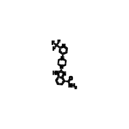 NC(=O)c1cccc2[nH]c(N3CCN(c4ccnc(C(F)(F)F)c4)CC3)nc12